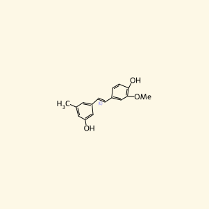 COc1cc(/C=C/c2cc(C)cc(O)c2)ccc1O